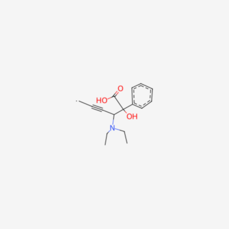 [CH2]C#CC(N(CC)CC)C(O)(C(=O)O)c1ccccc1